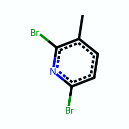 Cc1ccc(Br)nc1Br